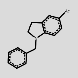 CC(=O)c1ccc2c(c1)CCN2Cc1ccccc1